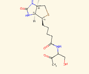 CC(=O)C(CO)NC(=O)CCCC[C@@H]1SC[C@@H]2NC(=O)N[C@@H]21